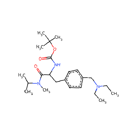 CCN(CC)Cc1ccc(CC(NC(=O)OC(C)(C)C)C(=O)N(C)C(C)C)cc1